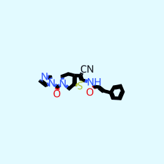 N#Cc1c(NC(=O)C=Cc2ccccc2)sc2c1CCN(C(=O)n1ccnc1)C2